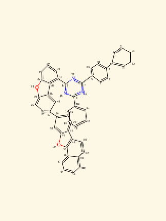 C1=CC(c2ccc(-c3nc(-c4ccccc4)nc(-c4cccc5oc6ccc(-c7ccc8c(c7)oc7c9ccccc9ccc87)cc6c45)n3)cc2)=CCC1